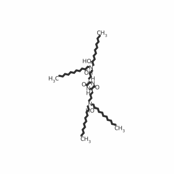 CCCCCCCCCCCCN(CCCC[C@H]1NC(=O)[C@H](CCCCN(C[C@H](O)CCCCCCCCCC)C[C@H](O)CCCCCCCCCC)NC1=O)C[C@H](O)CCCCCCCCCC